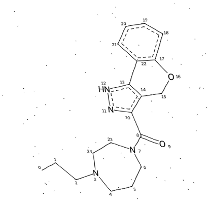 CCCN1CCCN(C(=O)c2n[nH]c3c2COc2ccccc2-3)CC1